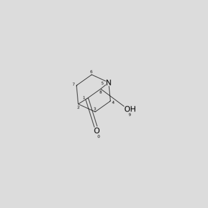 O=C1C2CCN(CC2)C1O